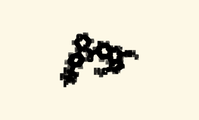 Cn1ncc2c(N)nc3cnc(C(=O)N4CCOC[C@@H]4c4ccc(C(F)(F)C(F)(F)F)cc4)cc3c21